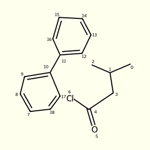 CC(C)CC(=O)Cl.c1ccc(-c2ccccc2)cc1